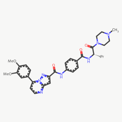 COc1ccc(-c2ccnc3cc(C(=O)Nc4ccc(C(=O)N[C@H](C(=O)N5CCN(C)CC5)C(C)C)cc4)nn23)cc1OC